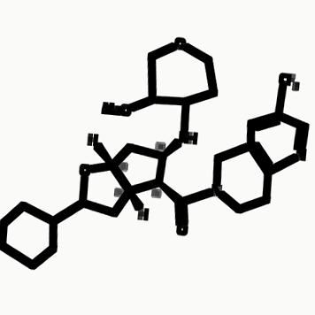 COC1COCCC1N[C@@H]1C[C@H]2OC(C3CCCCC3)C[C@H]2[C@@H]1C(=O)N1CCc2ncc(C(F)(F)F)cc2C1